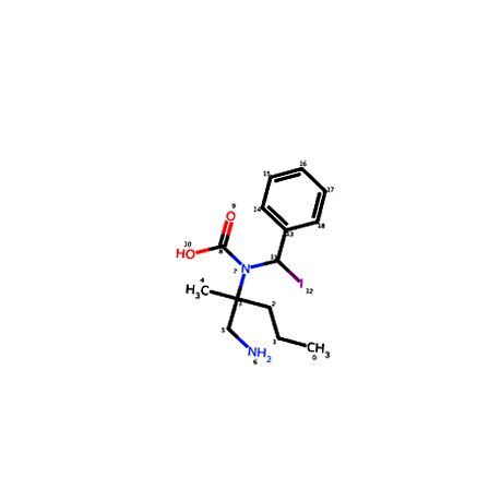 CCCC(C)(CN)N(C(=O)O)C(I)c1ccccc1